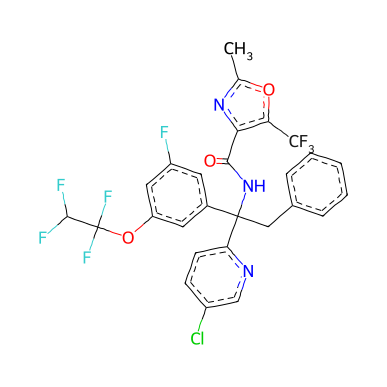 Cc1nc(C(=O)NC(Cc2ccccc2)(c2cc(F)cc(OC(F)(F)C(F)F)c2)c2ccc(Cl)cn2)c(C(F)(F)F)o1